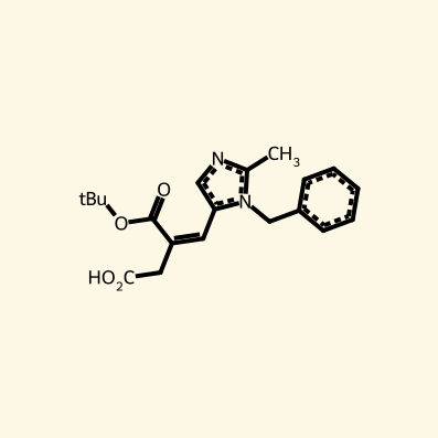 Cc1ncc(/C=C(/CC(=O)O)C(=O)OC(C)(C)C)n1Cc1ccccc1